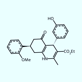 CCOC(=O)C1=C(C)NC2=C(C(=O)C[C@H](c3ccccc3OC)C2)[C@@H]1c1cccc(O)c1